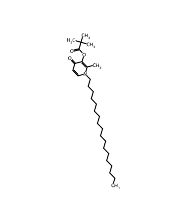 CCCCCCCCCCCCCCCCCCn1ccc(=O)c(OC(=O)C(C)(C)C)c1C